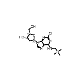 C[Si](C)(C)CNc1nc(Cl)nc2c1ncn2[C@H]1C[C@H](O)[C@@H](CO)O1